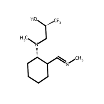 C/N=C/C1CCCC[C@@H]1N(C)C[C@H](O)C(F)(F)F